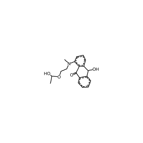 CC(O)OCCN(C)c1cccc2c1C(=O)c1ccccc1C2O